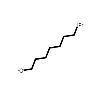 [CH2]C(C)CCCCCCC[O]